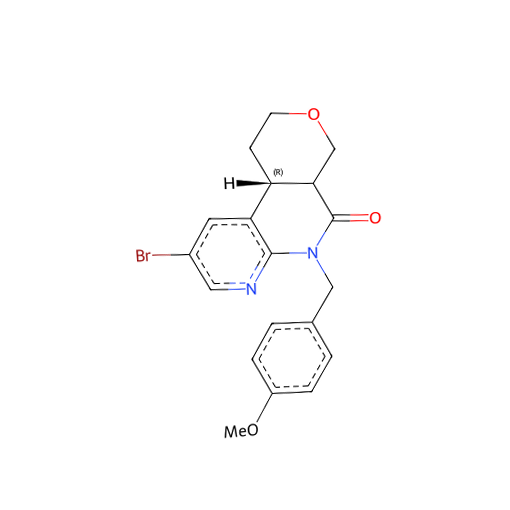 COc1ccc(CN2C(=O)C3COCC[C@H]3c3cc(Br)cnc32)cc1